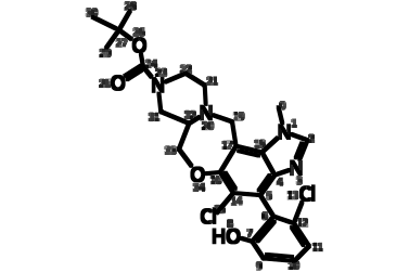 Cn1cnc2c(-c3c(O)cccc3Cl)c(Cl)c3c(c21)CN1CCN(C(=O)OC(C)(C)C)CC1CO3